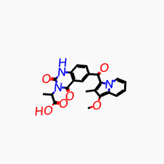 COc1c(C)c(C(=O)c2ccc3[nH]c(=O)n(C(C)C(=O)O)c(=O)c3c2)n2ccccc12